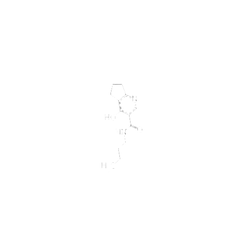 CCCCNC(=O)c1cnc2c(c1O)CCC2